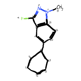 Cn1nc(F)c2cc(C3CCCCC3)ccc21